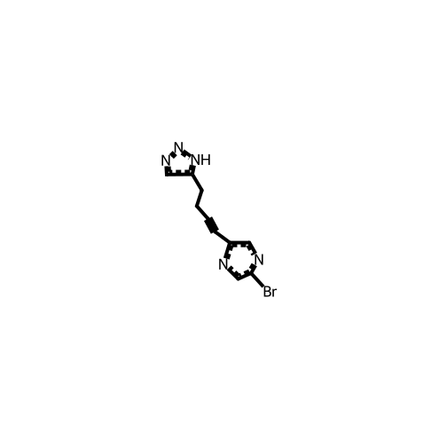 Brc1cnc(C#CCCc2cnn[nH]2)cn1